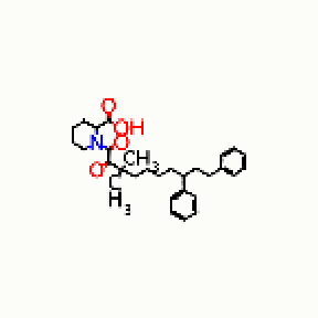 CC(C)(CCCCC(CCc1ccccc1)c1ccccc1)C(=O)C(=O)N1CCCCC1C(=O)O